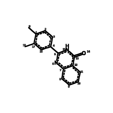 Cc1ccc(-c2nc3ccccc3c(=O)[nH]2)cc1C